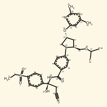 CCS(=O)(=O)c1ccc([C@@](S)(CC#N)NC(=O)c2ccc(N3C[C@H](Oc4cc(C)nc(C)n4)C[C@H]3COC(F)F)cc2)cc1